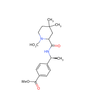 COC(=O)c1ccc([C@H](C)NC(=O)C2CC(C)(C)CCN2C(=O)O)cc1